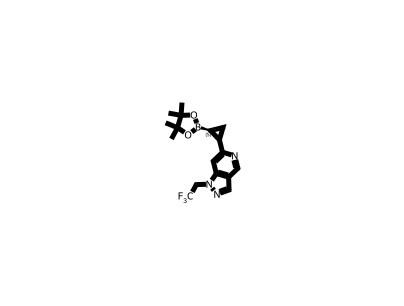 CC1(C)OB([C@H]2CC2c2cc3c(cn2)cnn3CC(F)(F)F)OC1(C)C